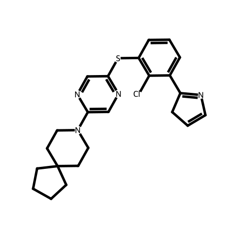 Clc1c(Sc2cnc(N3CCC4(CCCC4)CC3)cn2)cccc1C1=NC=CC1